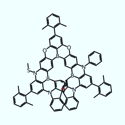 CSN1c2cc3c(cc2B2c4c1cc(-c1c(C)cccc1C)cc4-n1c4ccccc4c4cccc2c41)B1c2cc4c(cc2Oc2cc(-c5c(C)cccc5C)cc(c21)O3)N(c1ccccc1)c1cc(-c2c(C)cccc2C)cc2c1B4c1cccc3c4ccccc4n-2c13